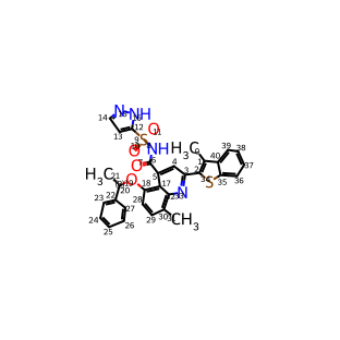 Cc1c(-c2cc(C(=O)NS(=O)(=O)c3ccn[nH]3)c3c(O[C@H](C)c4ccccc4)ccc(C)c3n2)sc2ccccc12